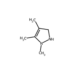 CC1=C(C)N(C)NC1